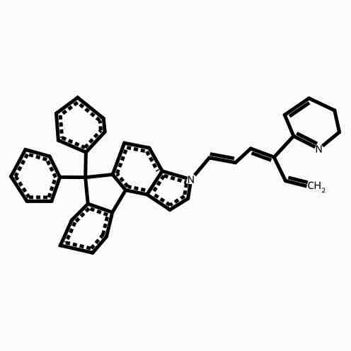 C=C/C(=C\C=C\n1ccc2c3c(ccc21)C(c1ccccc1)(c1ccccc1)c1ccccc1-3)C1=NCCC=C1